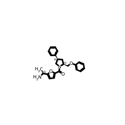 C[C@H](N)c1ccc(C(=O)N2C[C@@H](c3ccccc3)C[C@H]2COc2ccccc2)o1